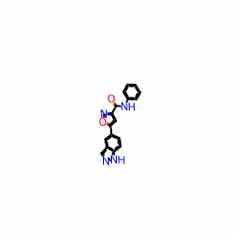 O=C(Nc1ccccc1)c1cc(-c2ccc3[nH]ncc3c2)on1